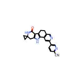 N#Cc1ccc(-c2cc3c(cn2)CCc2c-3[nH]c3c2C(=O)NC2(CC2)C3)cn1